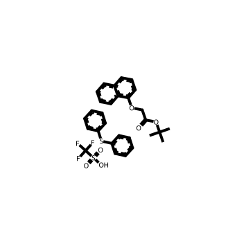 CC(C)(C)OC(=O)COc1cccc2ccccc12.O=S(=O)(O)C(F)(F)F.c1ccc(Sc2ccccc2)cc1